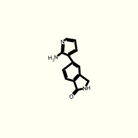 Nc1ncccc1-c1ccc2c(c1)CNC2=O